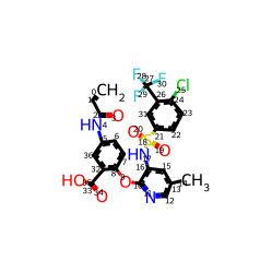 C=CC(=O)Nc1ccc(Oc2ncc(C)cc2NS(=O)(=O)c2ccc(Cl)c(C(F)(F)F)c2)c(C(=O)O)c1